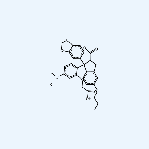 CCCOc1ccc2c(c1)CC(C(=O)[O-])C2(c1ccc2c(c1)OCO2)c1ccc(OC)cc1OCC(=O)O.[K+]